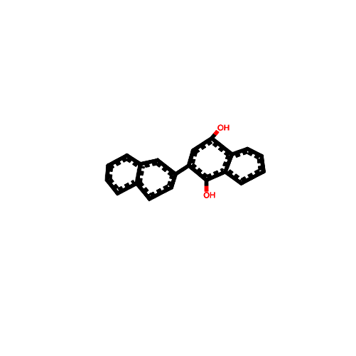 Oc1cc(-c2[c]c3ccccc3cc2)c(O)c2ccccc12